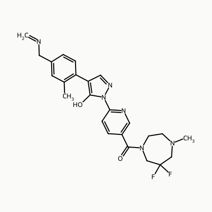 C=NCc1ccc(-c2cnn(-c3ccc(C(=O)N4CCN(C)CC(F)(F)C4)cn3)c2O)c(C)c1